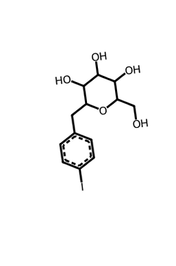 OCC1OC(Cc2ccc(I)cc2)C(O)C(O)C1O